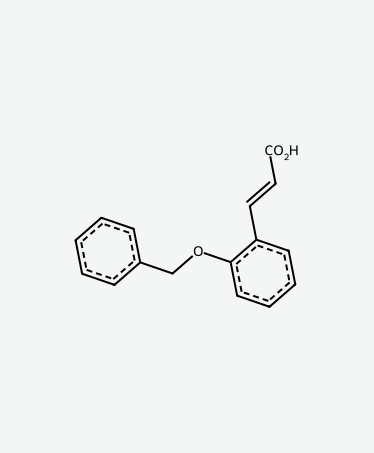 O=C(O)/C=C/c1ccccc1OCc1ccccc1